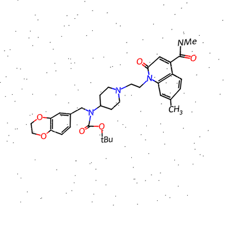 CNC(=O)c1cc(=O)n(CCN2CCC(N(Cc3ccc4c(c3)OCCO4)C(=O)OC(C)(C)C)CC2)c2cc(C)ccc12